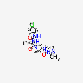 Cc1ncc2n1C(=O)N(C1CCN(C(=O)C(NC(=O)Nc3ccc(Cl)cc3)C(C)C)CC1)C2